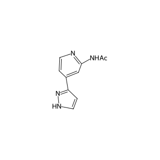 CC(=O)Nc1cc(-c2cc[nH]n2)ccn1